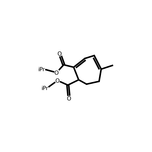 CC1=CC=C(C(=O)OC(C)C)C(C(=O)OC(C)C)CC1